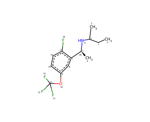 CCC(C)N[C@@H](C)c1cc(OC(F)(F)F)ccc1F